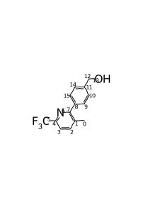 Cc1ccc(C(F)(F)F)nc1-c1ccc(CO)cc1